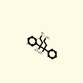 CCCC(C)(c1ccccc1)C(C)(CCC)c1ccccc1